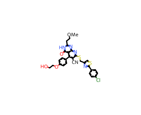 COCCc1nc2nc(SCc3csc(-c4ccc(Cl)cc4)n3)c(C#N)c(-c3ccc(OCCO)cc3)c2c(=O)[nH]1